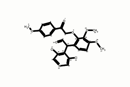 COc1ccc(C(=O)COc2c(C(C=O)c3c(Cl)cncc3Cl)ccc(OC)c2OC)cc1